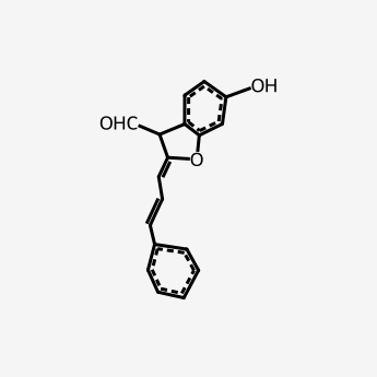 O=CC1C(=CC=Cc2ccccc2)Oc2cc(O)ccc21